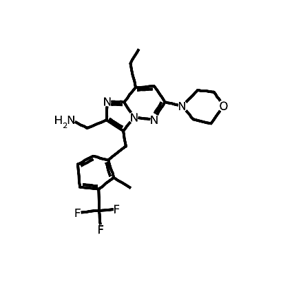 CCc1cc(N2CCOCC2)nn2c(Cc3cccc(C(F)(F)F)c3C)c(CN)nc12